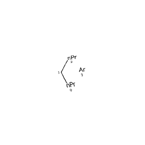 CCCCCCC.[Ar]